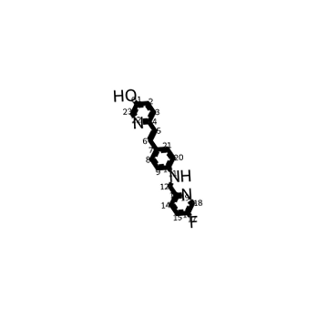 Oc1ccc(/C=C/c2ccc(NCc3ccc(F)cn3)cc2)nc1